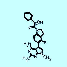 Cc1nc(N)c2c(-c3ccc4c(c3F)CCN4C(=O)[C@@H](O)c3ccccc3)cn(C)c2n1